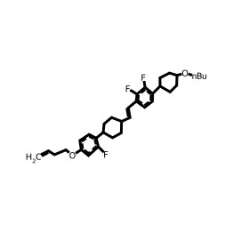 C=CCCOc1ccc(C2CCC(/C=C/c3ccc(C4CCC(OCCCC)CC4)c(F)c3F)CC2)c(F)c1